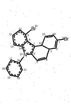 BrC1=CC2C=Cc3c(c4c(Br)cccc4n3-c3ccccc3)C2C=C1